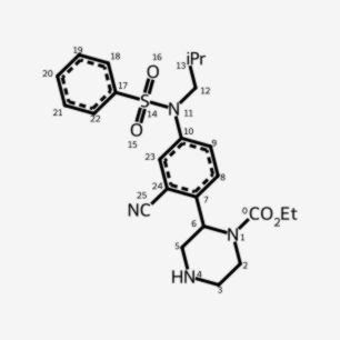 CCOC(=O)N1CCNCC1c1ccc(N(CC(C)C)S(=O)(=O)c2ccccc2)cc1C#N